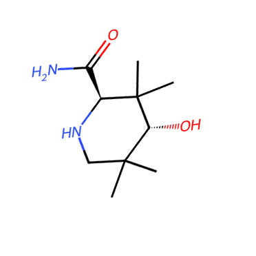 CC1(C)CN[C@@H](C(N)=O)C(C)(C)[C@@H]1O